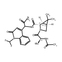 CC(C)(C)[C@H](NC(=O)C(F)(F)F)C(=O)N1C[C@H]2[C@@H]([C@H]1C(=O)NC(C(N)=O)c1cc(=O)n(C(F)F)c3ccccc13)C2(C)C